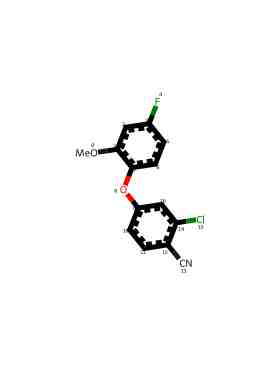 COc1cc(F)ccc1Oc1ccc(C#N)c(Cl)c1